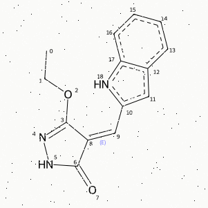 CCOC1=NNC(=O)/C1=C/c1cc2ccccc2[nH]1